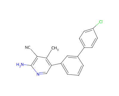 Cc1c(-c2cccc(-c3ccc(Cl)cc3)c2)cnc(N)c1C#N